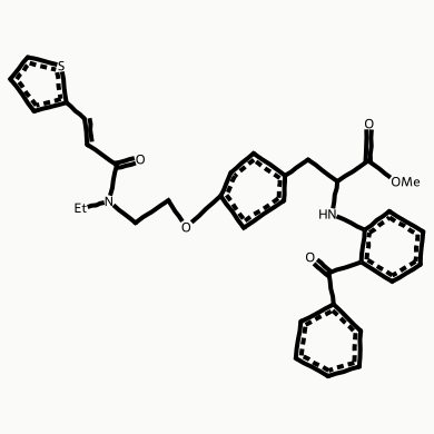 CCN(CCOc1ccc(CC(Nc2ccccc2C(=O)c2ccccc2)C(=O)OC)cc1)C(=O)C=Cc1cccs1